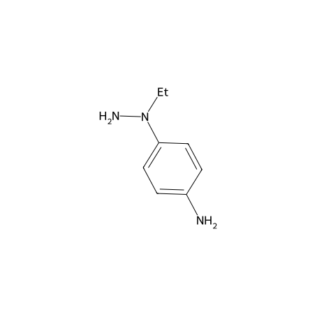 CCN(N)c1ccc(N)cc1